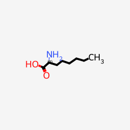 CCCCCC[C@@H](N)C(=O)O